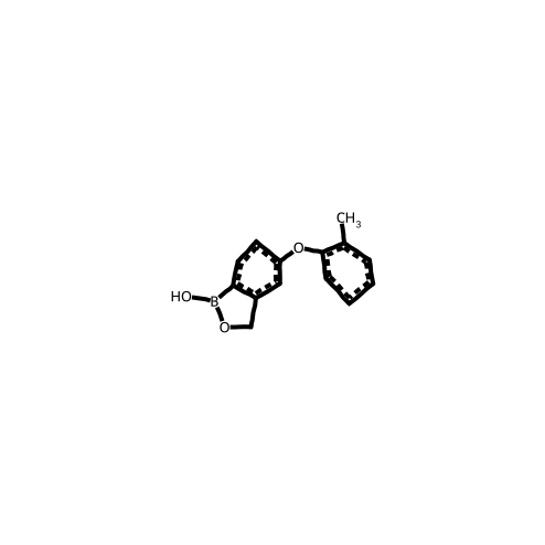 Cc1ccccc1Oc1ccc2c(c1)COB2O